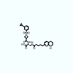 O=C(CCCCc1ccc2c(n1)NCCC2)NC[C@H](NC(=O)C1CN(S(=O)(=O)c2cccc(C3CC3)c2)C1)C(=O)O